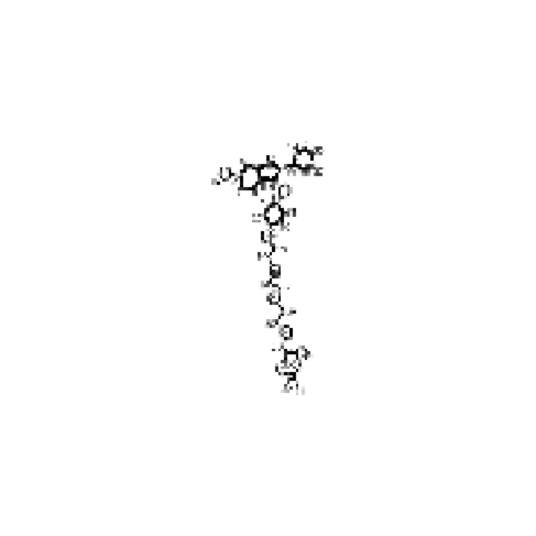 COc1ccc2c(Oc3ccc(OCCOCCOCCOCC(=O)OC(C)(C)C)cc3)c(-c3ccccc3)sc2c1